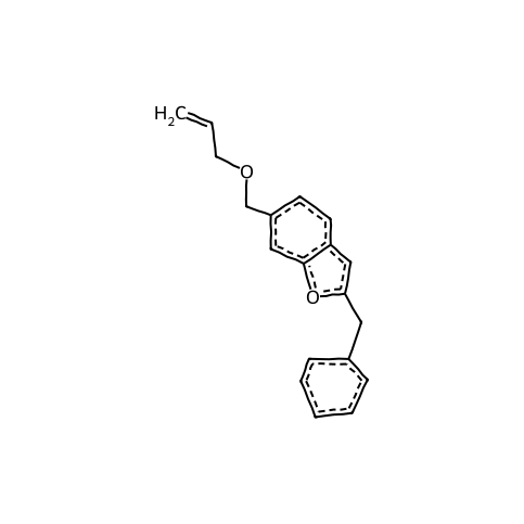 C=CCOCc1ccc2cc(Cc3ccccc3)oc2c1